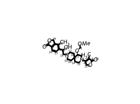 COCO[C@@H]1CN(C2=C(C)C(=O)OC2)CCC12CCN(CC(O)c1ccc3c(c1C)COC3=O)CC2